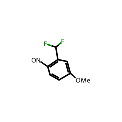 COc1ccc(N=O)c(C(F)F)c1